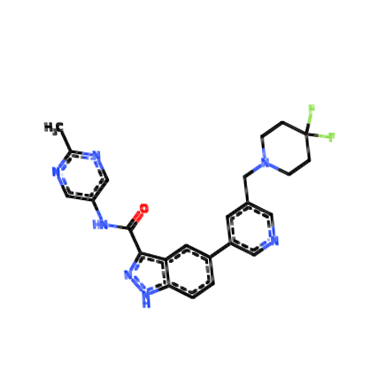 Cc1ncc(NC(=O)c2n[nH]c3ccc(-c4cncc(CN5CCC(F)(F)CC5)c4)cc23)cn1